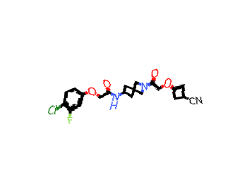 N#CC1CC(OCC(=O)N2CC3(CC(NC(=O)COc4ccc(Cl)c(F)c4)C3)C2)C1